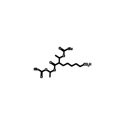 CC(OC(=O)C(CCCCCC(=O)O)C(C)OC(=O)C(C)(C)C)OC(=O)C(C)(C)C